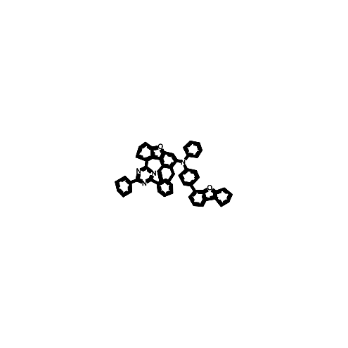 C1=Cc2c(c(N(c3ccccc3)c3ccc(-c4cccc5c4oc4ccccc45)cc3)cc3oc4cccc(-c5nc(-c6ccccc6)nc(-c6ccccc6)n5)c4c23)CC1